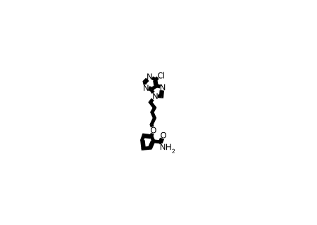 NC(=O)c1ccccc1OCCCCCn1cnc2c(Cl)ncnc21